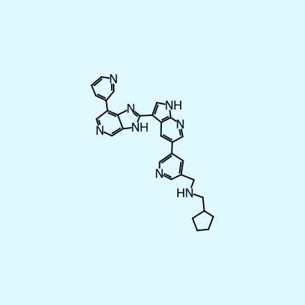 c1cncc(-c2cncc3[nH]c(-c4c[nH]c5ncc(-c6cncc(CNCC7CCCC7)c6)cc45)nc23)c1